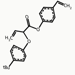 C=Cc1ccc(OC(=O)C(C=C)Oc2ccc(C(C)(C)C)cc2)cc1